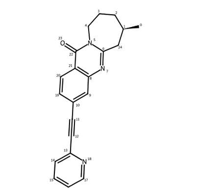 C[C@@H]1CCCn2c(nc3cc(C#Cc4ccccn4)ccc3c2=O)C1